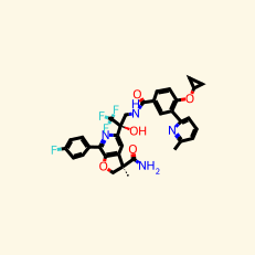 Cc1cccc(-c2cc(C(=O)NC[C@](O)(c3cc4c(c(-c5ccc(F)cc5)n3)OC[C@]4(C)C(N)=O)C(F)(F)F)ccc2OC2CC2)n1